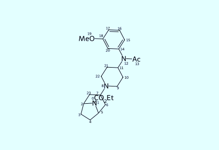 CCOC(=O)N1C2CCC1CC(N1CCC(N(C(C)=O)c3cccc(OC)c3)CC1)C2